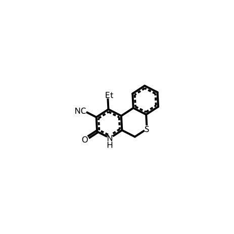 CCc1c2c([nH]c(=O)c1C#N)CSc1ccccc1-2